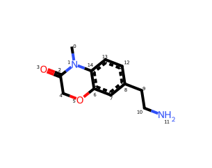 CN1C(=O)COc2cc(CCN)ccc21